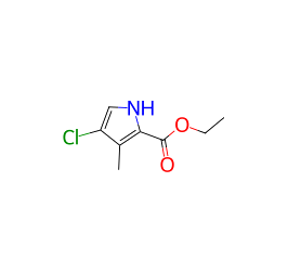 CCOC(=O)c1[nH]cc(Cl)c1C